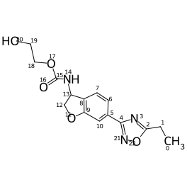 CCc1nc(-c2ccc3c(c2)OCC3NC(=O)OCCO)no1